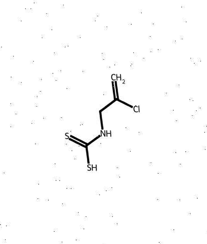 C=C(Cl)CNC(=S)S